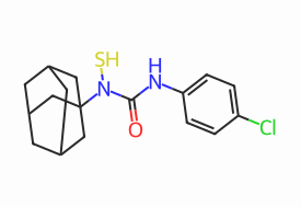 O=C(Nc1ccc(Cl)cc1)N(S)C12CC3CC(CC(C3)C1)C2